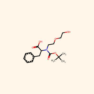 CC(C)(C)OC(=O)N(CCOCCO)C(Cc1ccccc1)C(=O)O